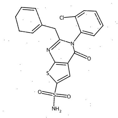 NS(=O)(=O)c1cc2c(=O)n(-c3ccccc3Cl)c(CC3=CCCC=C3)nc2s1